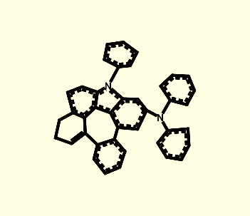 C1=C2c3ccccc3-c3cc(N(c4ccccc4)c4ccccc4)cc4c3c3c2c(ccc3n4-c2ccccc2)CC1